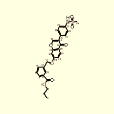 CCCOC(=O)c1cccc(COc2ccc3c(=O)c(-c4ccc(NS(C)(=O)=O)cc4)coc3c2)c1